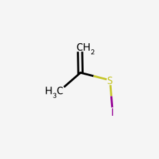 C=C(C)SI